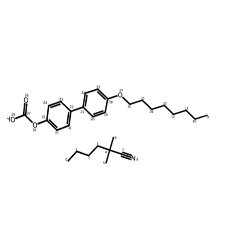 CCCCC(C)(C)C#N.CCCCCCCCOc1ccc(-c2ccc(OC(=O)O)cc2)cc1